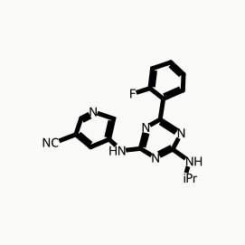 CC(C)Nc1nc(Nc2cncc(C#N)c2)nc(-c2ccccc2F)n1